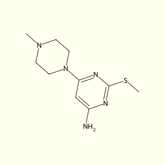 CSc1nc(N)cc(N2CCN(C)CC2)n1